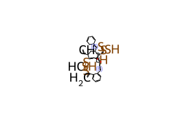 C#[SH]1SC(=C)c2ccccc2/C=C2/C=C3C(=C(S1)C(C=C)CC1/C(=C4/C=CC=CC4)S[SH](S)#CC31)CCC2